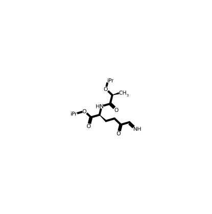 CC(C)OC(=O)[C@H](CCC(=O)C=N)NC(=O)[C@H](C)OC(C)C